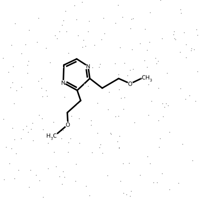 COCCc1nccnc1CCOC